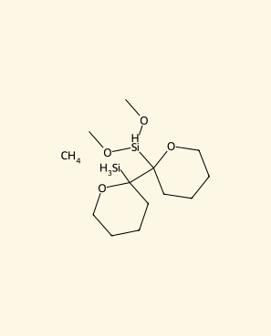 C.CO[SiH](OC)C1(C2([SiH3])CCCCO2)CCCCO1